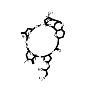 C=C1CC2CC[C@]34C[C@@H](O)C(O3)C3CC(O4)C4OC(CCC4O3)CC(=O)CC3C[C@@H](CC(O)CN)OC3C[C@H]3OC(CC[C@@H]1O2)C[C@@H](C)C3=C